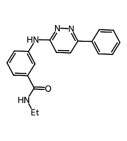 CCNC(=O)c1cccc(Nc2ccc(-c3ccccc3)nn2)c1